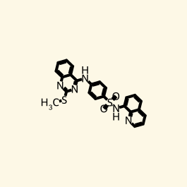 CSc1nc(Nc2ccc(S(=O)(=O)Nc3cccc4cccnc34)cc2)c2ccccc2n1